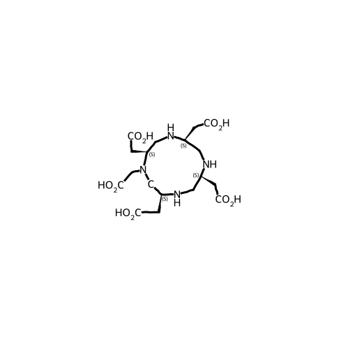 O=C(O)C[C@H]1CN[C@@H](CC(=O)O)CN(CC(=O)O)[C@@H](CC(=O)O)CN[C@@H](CC(=O)O)CN1